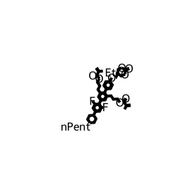 C=C(C)C(=O)OCCCc1cc(-c2c(F)cc(C3CCC(CCCCC)CC3)cc2F)cc(CCCOC(=O)C(=C)C)c1-c1ccc(OCC2(CC)COC(=O)OC2)cc1